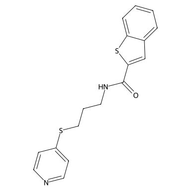 O=C(NCCCSc1ccncc1)c1cc2ccccc2s1